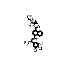 O=C(NC1(C(=O)NCC(F)(F)F)CC1)c1ccc(/C(F)=C/C(c2cc(Cl)c(Cl)c(Cl)c2)C(F)(F)F)c2ccccc12